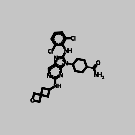 NC(=O)[C@H]1CC[C@@H](n2c(Nc3c(Cl)cccc3Cl)nc3cnc(NC4CC5(COC5)C4)nc32)CC1